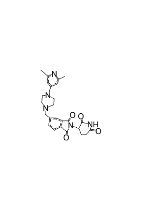 Cc1cc(N2CCN(Cc3ccc4c(c3)C(=O)N(C3CCC(=O)NC3=O)C4=O)CC2)cc(C)n1